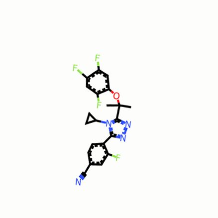 CC(C)(Oc1cc(F)c(F)cc1F)c1nnc(-c2ccc(C#N)cc2F)n1C1CC1